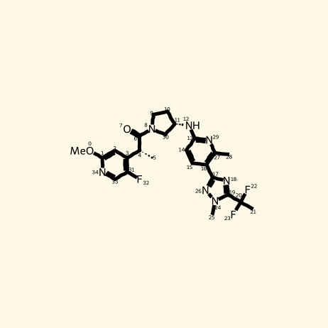 COc1cc([C@@H](C)C(=O)N2CC[C@H](Nc3ccc(-c4nc(C(C)(F)F)n(C)n4)c(C)n3)C2)c(F)cn1